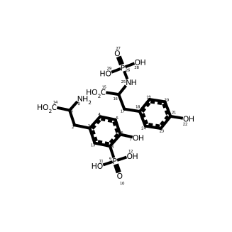 NC(Cc1ccc(O)c(P(=O)(O)O)c1)C(=O)O.O=C(O)C(Cc1ccc(O)cc1)NP(=O)(O)O